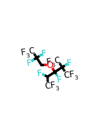 FC(C(F)(F)F)C(F)(OCC(F)(F)C(F)(F)F)C(F)(C(F)(F)F)C(F)(F)F